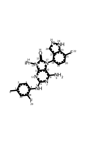 Cc1ccc(Nc2nc(N)c3c(n2)n(C(C)C)c(=O)n3-c2ccc(F)c3[nH]ncc23)c(F)c1